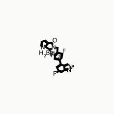 BC1(B)c2ncccc2C(=O)N1Cc1c(F)cc(-c2cc(F)cc3nn(C)cc23)cc1F